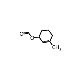 CC1=CC(OC=O)CCC1